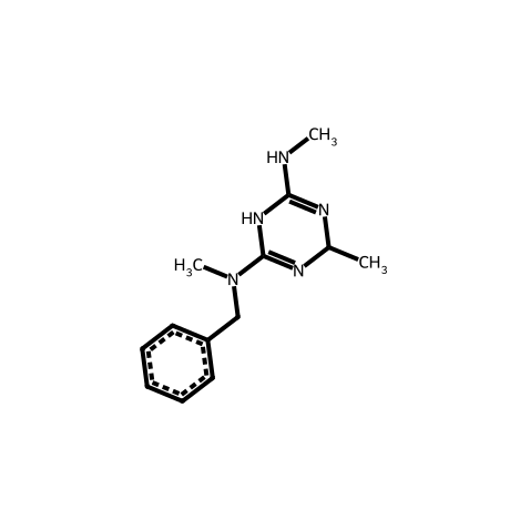 CNC1=NC(C)N=C(N(C)Cc2ccccc2)N1